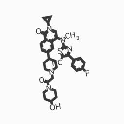 CN(c1nc(-c2ccc(F)cc2)c(C#N)s1)c1cn(C2CC2)c(=O)c2ccc(C3CCN(CC(=O)N4CCC(O)CC4)CC3)cc12